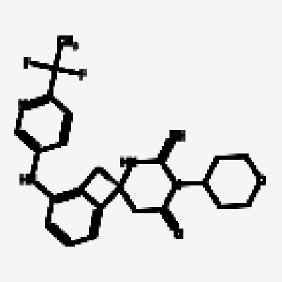 CC(F)(F)c1ccc(Nc2cccc3c2C[C@]32CC(=O)N(C3CCOCC3)C(=N)N2)cn1